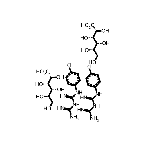 N=C(N)NC(=N)Nc1ccc(Cl)cc1.N=C(N)NC(=N)Nc1ccc(Cl)cc1.O=C(O)[C@H](O)[C@@H](O)[C@H](O)[C@H](O)CO.O=C(O)[C@H](O)[C@@H](O)[C@H](O)[C@H](O)CO